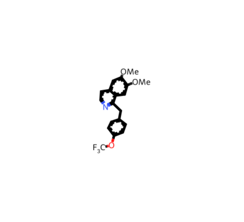 COc1cc2ccnc(Cc3ccc(OC(F)(F)F)cc3)c2cc1OC